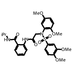 COc1ccc(OC)c(N(CC(=O)Nc2ccccc2C(=O)NC(C)C)S(=O)(=O)c2ccc(OC)c(OC)c2)c1